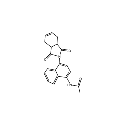 CC(=O)Nc1ccc(N2C(=O)C3CC=CCC3C2=O)c2ccccc12